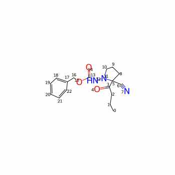 CCCC(=O)C1(C#N)CCCN1NC(=O)OCc1ccccc1